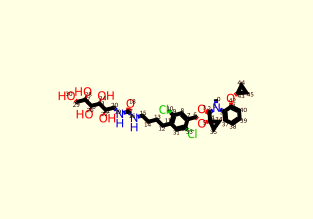 CN(C(=O)C1(OCc2cc(Cl)c(CCCCNC(=O)NC[C@H](O)[C@@H](O)[C@H](O)[C@H](O)CO)cc2Cl)CC1)c1ccccc1OC1CC1